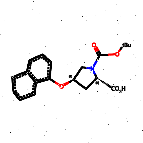 CC(C)(C)OC(=O)N1C[C@H](Oc2cccc3ccccc23)C[C@H]1C(=O)O